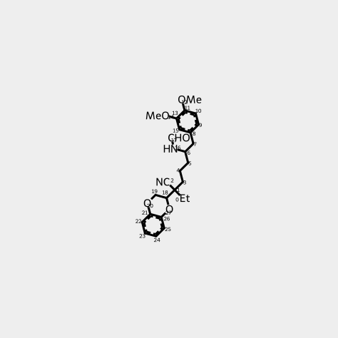 CCC(C#N)(CCCC(Cc1ccc(OC)c(OC)c1)NC=O)C1COc2ccccc2O1